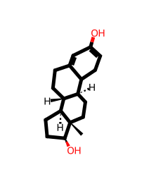 C[C@]12CC[C@@H]3C4CC=C(O)C=C4CC[C@H]3[C@@H]1CC[C@@H]2O